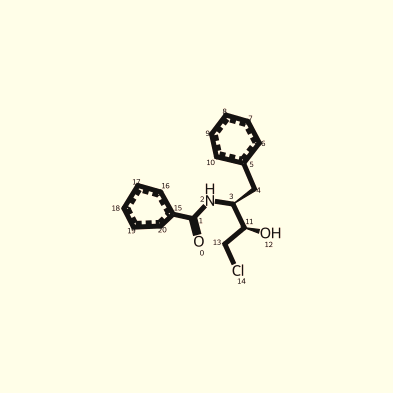 O=C(N[C@@H](Cc1ccccc1)[C@@H](O)CCl)c1ccccc1